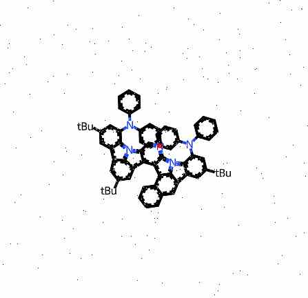 CC(C)(C)c1cc(N(c2ccccc2)c2ccccc2)c2c(c1)c1cc(C(C)(C)C)cc3c4c5c6c7ccccc7cc7c8cc(C(C)(C)C)cc(N(c9ccccc9)c9ccccc9)c8n(c5ncc4n2c13)c76